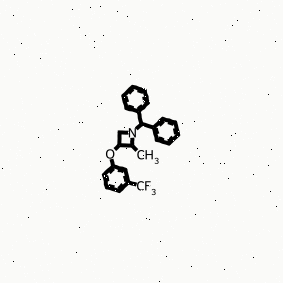 CC1C(Oc2cccc(C(F)(F)F)c2)CN1C(c1ccccc1)c1ccccc1